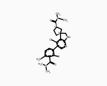 CN(C)C(=O)c1c(N)ccc(-c2cnc3c(c2Cl)[C@@]2(CC[C@@H](C(=O)N(C)C)C2)CN3)c1F